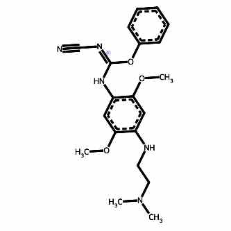 COc1cc(N/C(=N\C#N)Oc2ccccc2)c(OC)cc1NCCN(C)C